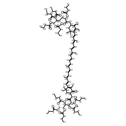 CCCC(=O)OC[C@@H](OC(=O)CCC)[C@@H](OC(=O)CCC)[C@H](OC(=O)CCC)[C@@H](OC(=O)CCC)C(=O)CC1CC(C)(C)C(/C=C/C(C)=C/C=C/C(C)=C/C=C/C=C(C)/C=C/C=C(C)/C=C/C2=C(C)C(=O)C(CC(=O)[C@H](OC(=O)CCC)[C@@H](OC(=O)CCC)[C@H](OC(=O)CCC)[C@@H](COC(=O)CCC)OC(=O)CCC)CC2(C)C)=C(C)C1=O